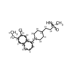 COc1cc2nccc(N3CCC(CC[S@@](C)(=N)=O)CC3)c2cc1Cl